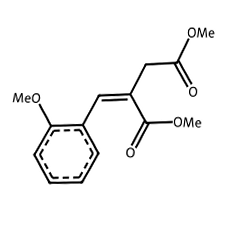 COC(=O)CC(=Cc1ccccc1OC)C(=O)OC